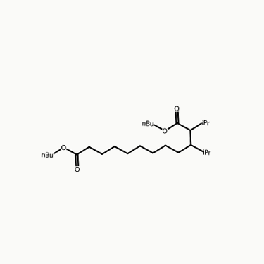 CCCCOC(=O)CCCCCCCCC(C(C)C)C(C(=O)OCCCC)C(C)C